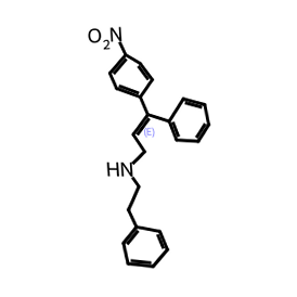 O=[N+]([O-])c1ccc(/C(=C/CNCCc2ccccc2)c2ccccc2)cc1